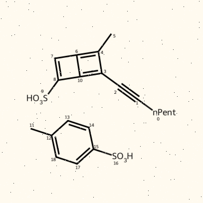 CCCCCC#Cc1c(C)c2cc(S(=O)(=O)O)c1-2.Cc1ccc(S(=O)(=O)O)cc1